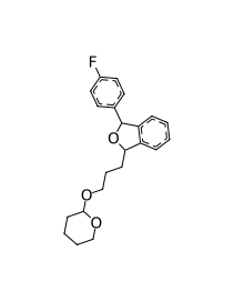 Fc1ccc(C2OC(CCCOC3CCCCO3)c3ccccc32)cc1